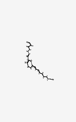 CCCCCC=CC=CC1CCC=C(C=CCCCCC)C1